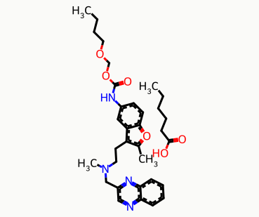 CCCCCC(=O)O.CCCCOCOC(=O)Nc1ccc2oc(C)c(CCN(C)Cc3cnc4ccccc4n3)c2c1